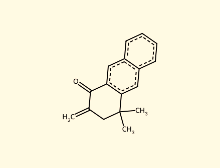 C=C1CC(C)(C)c2cc3ccccc3cc2C1=O